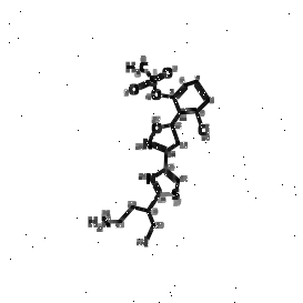 CS(=O)(=O)Oc1cccc(Cl)c1C1CC(c2csc(C(CI)CCN)n2)=NO1